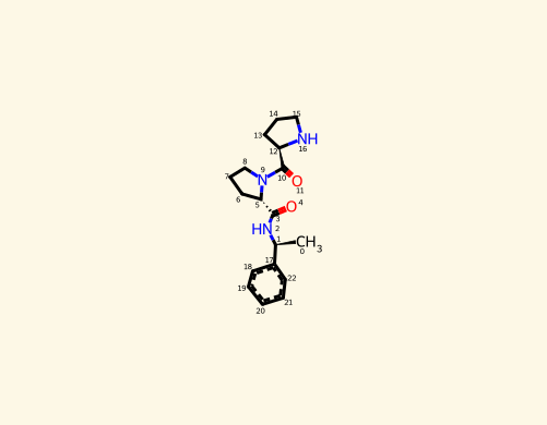 C[C@H](NC(=O)[C@@H]1CCCN1C(=O)[C@H]1CCCN1)c1ccccc1